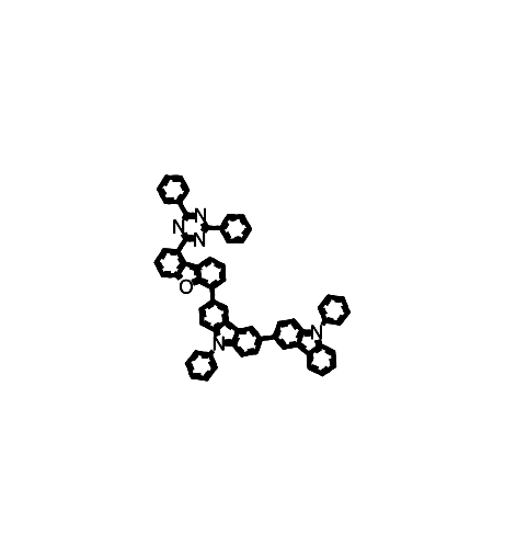 c1ccc(-c2nc(-c3ccccc3)nc(-c3cccc4oc5c(-c6ccc7c(c6)c6cc(-c8ccc9c(c8)c8ccccc8n9-c8ccccc8)ccc6n7-c6ccccc6)cccc5c34)n2)cc1